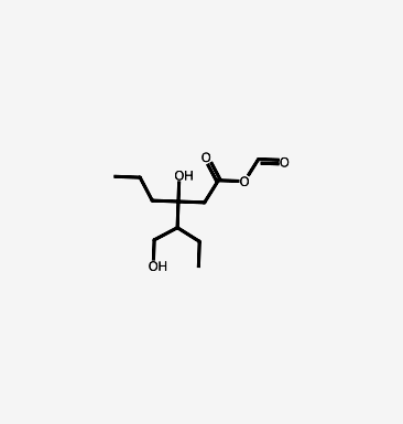 CCCC(O)(CC(=O)OC=O)C(CC)CO